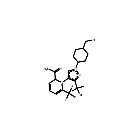 CC(C)(O)c1nn(C2CCC(CO)CC2)cc1N1C(C(F)(F)F)=CC=CC1C(N)=O